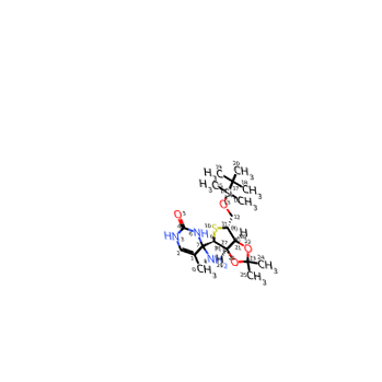 CC1=CNC(=O)NC1(N)[C@H]1S[C@H](CO[Si](C)(C)C(C)(C)C)[C@H]2OC(C)(C)O[C@H]21